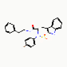 O=C(NCCc1ccccc1)[C@H](Cc1c[nH]c2ccccc12)N(c1ccc(Br)cc1)S(=O)(=O)O